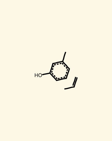 C=CC.Cc1cccc(O)c1